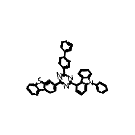 c1ccc(-c2ccc(-c3nc(-c4ccc5c(c4)sc4ccccc45)nc(-c4cccc5c4c4ccccc4n5-c4ccccc4)n3)cc2)cc1